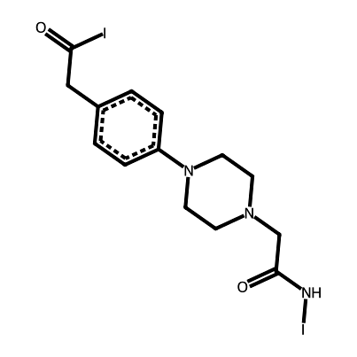 O=C(I)Cc1ccc(N2CCN(CC(=O)NI)CC2)cc1